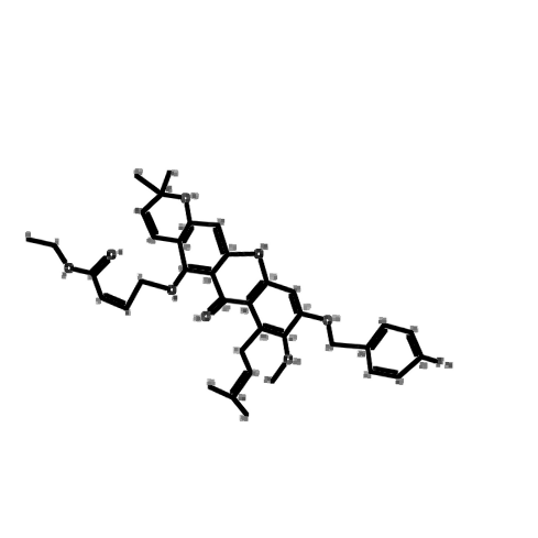 CCOC(=O)/C=C\COc1c2c(cc3oc4cc(OCc5ccc(F)cc5)c(OC)c(CC=C(C)C)c4c(=O)c13)OC(C)(C)C=C2